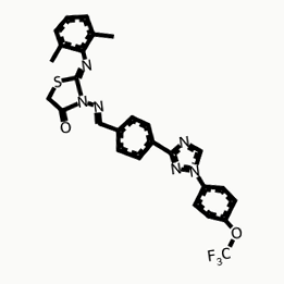 Cc1cccc(C)c1/N=C1\SCC(=O)N1N=Cc1ccc(-c2ncn(-c3ccc(OC(F)(F)F)cc3)n2)cc1